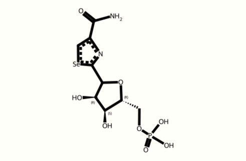 NC(=O)c1c[se]c(C2O[C@H](COP(=O)(O)O)[C@@H](O)[C@H]2O)n1